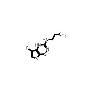 CCCNC1=NSc2scc(F)c2N1